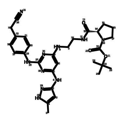 Cc1cc(Nc2cc(NCCNC(=O)[C@@H]3CCCN3C(=O)OC(C)(C)C)nc(Nc3ccc(CC#N)cc3)n2)n[nH]1